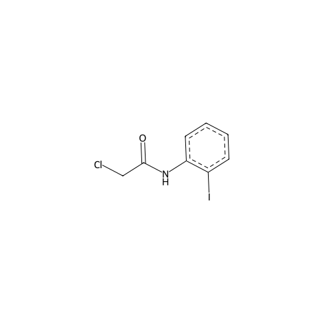 O=C(CCl)Nc1ccccc1I